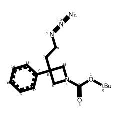 CC(C)(C)OC(=O)N1CC(CCN=[N+]=[N-])(c2ccccc2)C1